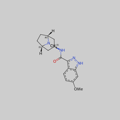 COc1ccc2c(C(=O)N[C@@H]3C[C@H]4CC[C@@H](C3)N4C)n[nH]c2c1